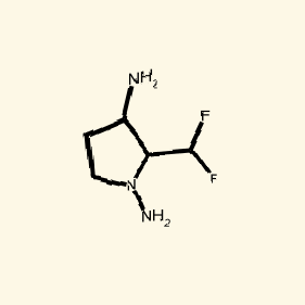 NC1CCN(N)C1C(F)F